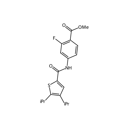 COC(=O)c1ccc(NC(=O)c2cc(C(C)C)c(C(C)C)s2)cc1F